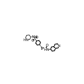 O=C(Nc1ccc2cnccc2c1)[C@@H]1C[C@H]1c1ccc(S(=O)(=O)N[C@@H]2CCCNC2)cc1